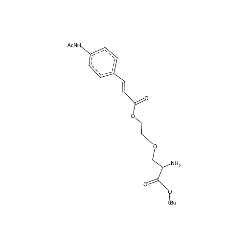 CC(=O)Nc1ccc(/C=C/C(=O)OCCOCC(N)C(=O)OC(C)(C)C)cc1